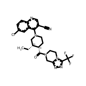 CC[C@@H]1CN(c2c(C#N)cnc3ccc(Cl)cc23)CC[C@@H]1C(=O)N1CCn2c(nnc2C(F)(F)F)C1